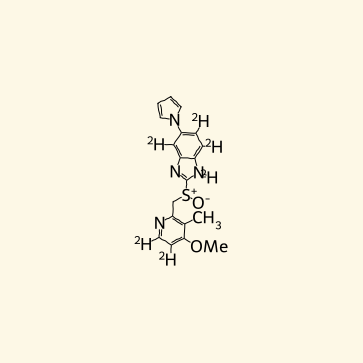 [2H]c1nc(C[S+]([O-])c2nc3c([2H])c(-n4cccc4)c([2H])c([2H])c3n2[2H])c(C)c(OC)c1[2H]